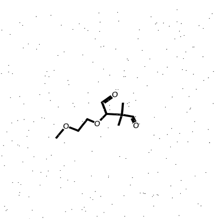 COCCOC(C=O)C(C)(C)[C]=O